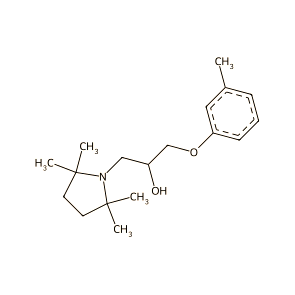 Cc1cccc(OCC(O)CN2C(C)(C)CCC2(C)C)c1